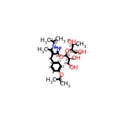 Cc1c(Cc2ccc(OC(C)C)cc2)c(OC(OC(CO)[C@H](C)O)[C@@H](O)CO)nn1C(C)C